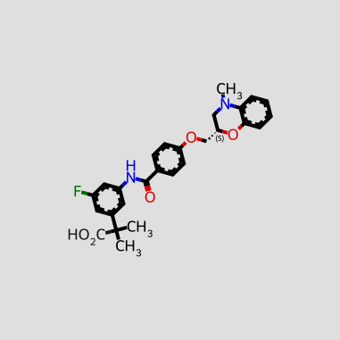 CN1C[C@@H](COc2ccc(C(=O)Nc3cc(F)cc(C(C)(C)C(=O)O)c3)cc2)Oc2ccccc21